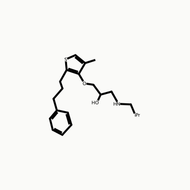 Cc1csc(CCCc2ccccc2)c1OCC(O)CNCC(C)C